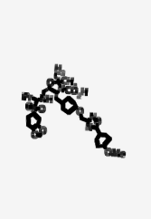 COc1ccc(-c2nc(COc3ccc(C[C@H]4[C@@H](CNC(C(C)C)S(=O)(=O)c5ccc6c(c5)OCO6)OC(C)(C)N4C(=O)O)cc3)no2)cc1